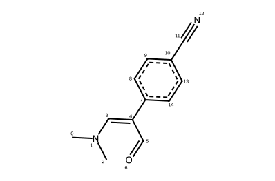 CN(C)C=C(C=O)c1ccc(C#N)cc1